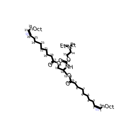 CCCCCCCC/C=C\CCCCCCCC(=O)OCC(COC(=O)CCCCCCC/C=C\CCCCCCCC)NC(=O)OCCN(CC)CC